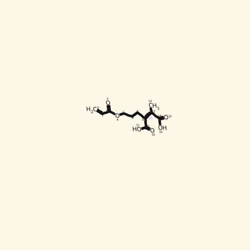 C=CC(=O)OCCC/C(C(=O)O)=C(\C)C(=O)O